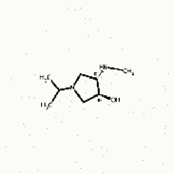 CN[C@H]1CN(C(C)C)C[C@@H]1O